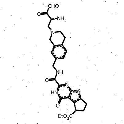 CCOC(=O)C1CCc2sc3nc(C(=O)NCc4ccc5c(c4)CN(CC(N)C(=O)C=O)CC5)[nH]c(=O)c3c21